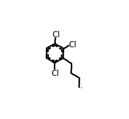 [CH2]CCCc1c(Cl)ccc(Cl)c1Cl